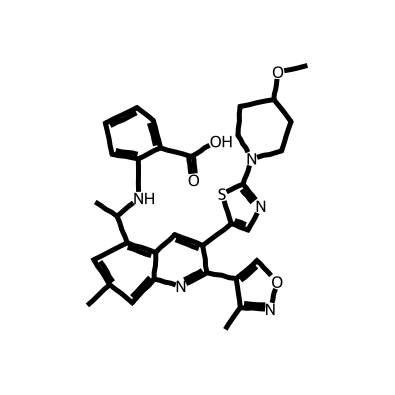 COC1CCN(c2ncc(-c3cc4c(C(C)Nc5ccccc5C(=O)O)cc(C)cc4nc3-c3conc3C)s2)CC1